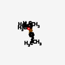 CC(C)CCc1ccc(SSC(C[Si](C)(C)C)OCC(C)C)cc1